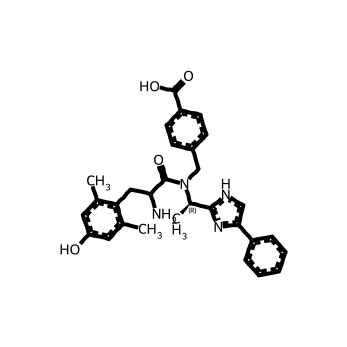 Cc1cc(O)cc(C)c1CC(N)C(=O)N(Cc1ccc(C(=O)O)cc1)[C@H](C)c1nc(-c2ccccc2)c[nH]1